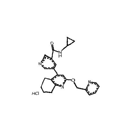 Cl.O=C(NC1CC1)c1cncc(-c2cc(OCc3ccccn3)nc3c2CCCC3)c1